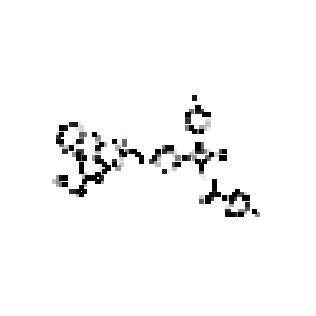 O=C(COc1ccc(C2C(CCC(=O)c3ccc(F)cc3)C(=O)N2c2ccc(F)cc2)cc1)N[C@H](Cc1ccccc1)C(=O)N[C@@H](CO)C(=O)O